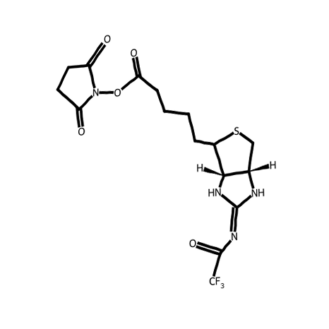 O=C(CCCCC1SC[C@@H]2N/C(=N/C(=O)C(F)(F)F)N[C@H]12)ON1C(=O)CCC1=O